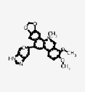 COc1ccc2c(c[n+](C)c3c4cc5c(cc4c(-c4ccc6[nH]cnc6c4)cc23)OCO5)c1OC